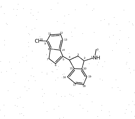 CNC1CC(C2=CCc3c(Cl)cccc32)c2ccccc21